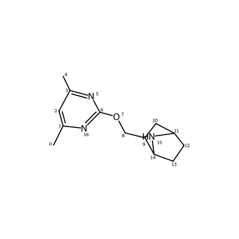 Cc1cc(C)nc(OCC2CC3CCC2N3)n1